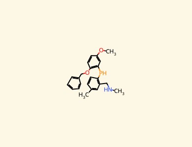 CNCc1cc(C)ccc1Pc1cc(OC)ccc1OCc1ccccc1